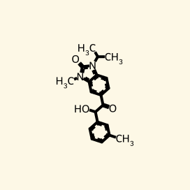 Cc1cccc(C(O)C(=O)c2ccc3c(c2)n(C)c(=O)n3C(C)C)c1